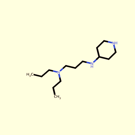 CCCN(CCC)CCCNC1CCNCC1